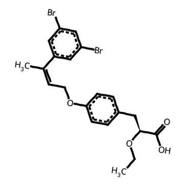 CCO[C@@H](Cc1ccc(OC/C=C(/C)c2cc(Br)cc(Br)c2)cc1)C(=O)O